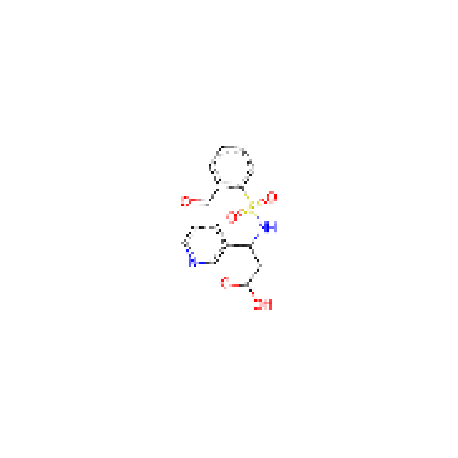 O=Cc1ccccc1S(=O)(=O)NC(CC(=O)O)c1cccnc1